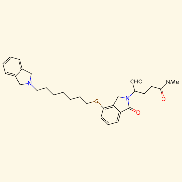 CNC(=O)CCC(C=O)N1Cc2c(SCCCCCCCN3Cc4ccccc4C3)cccc2C1=O